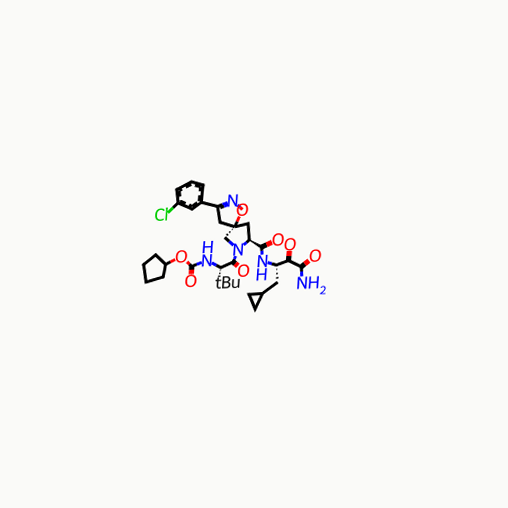 CC(C)(C)[C@H](NC(=O)OC1CCCC1)C(=O)N1C[C@@]2(CC(c3cccc(Cl)c3)=NO2)C[C@H]1C(=O)N[C@@H](CC1CC1)C(=O)C(N)=O